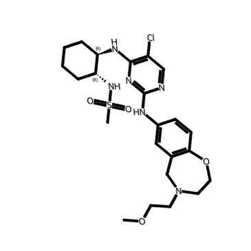 COCCN1CCOc2ccc(Nc3ncc(Cl)c(N[C@@H]4CCCC[C@H]4NS(C)(=O)=O)n3)cc2C1